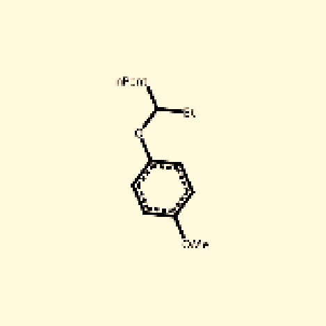 CCCCCC(CC)Oc1ccc(OC)cc1